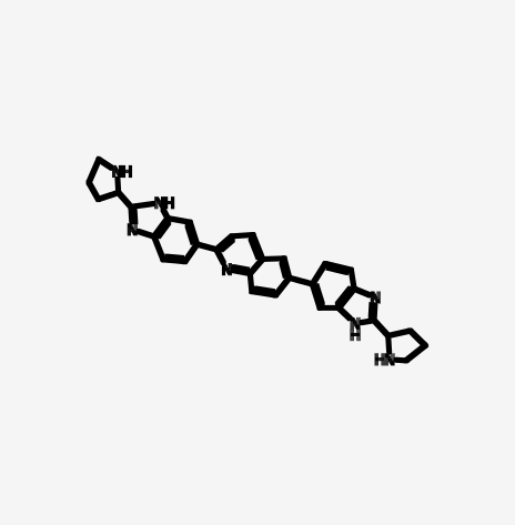 c1cc2nc(-c3ccc4nc(C5CCCN5)[nH]c4c3)ccc2cc1-c1ccc2nc(C3CCCN3)[nH]c2c1